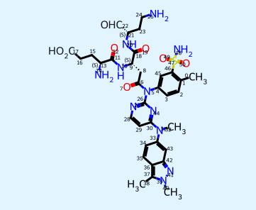 Cc1ccc(N(C(=O)C[C@H](NC(=O)[C@@H](N)CCC(=O)O)C(=O)N[C@H](C=O)CCN)c2nccc(N(C)c3ccc4c(C)n(C)nc4c3)n2)cc1S(N)(=O)=O